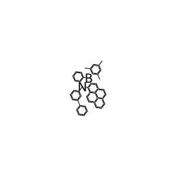 Cc1cc(C)c(B2c3ccccc3N(c3cccc(-c4ccccc4)c3)c3c2cc2ccc4cccc5ccc3c2c45)c(C)c1